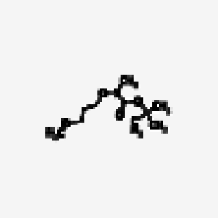 COCCCON(C)C(=O)OC(C)(C)C